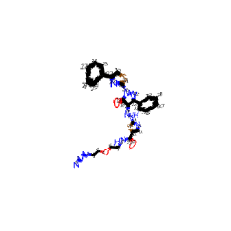 [N-]=[N+]=NCCOCCNC(=O)c1cnc(N/N=C2/C(=O)N(c3nc(-c4ccccc4)cs3)N=C2c2ccccc2)s1